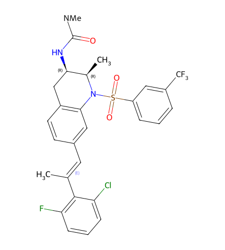 CNC(=O)N[C@@H]1Cc2ccc(/C=C(\C)c3c(F)cccc3Cl)cc2N(S(=O)(=O)c2cccc(C(F)(F)F)c2)[C@@H]1C